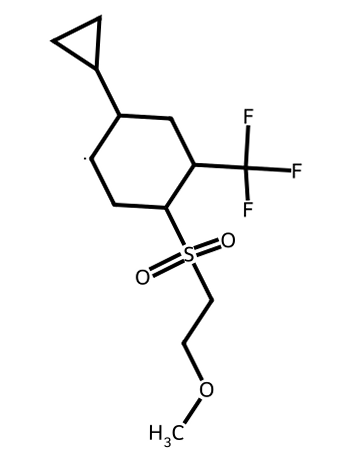 COCCS(=O)(=O)C1C[CH]C(C2CC2)CC1C(F)(F)F